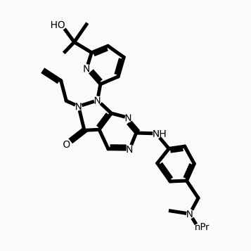 C=CCn1c(=O)c2cnc(Nc3ccc(CN(C)CCC)cc3)nc2n1-c1cccc(C(C)(C)O)n1